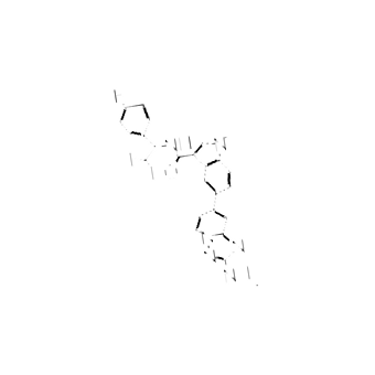 Cn1cc(C(=O)N[C@H](c2ccc(F)cc2)C(F)F)c2cc(-c3ccn4nc(N)nc4c3)ccc21